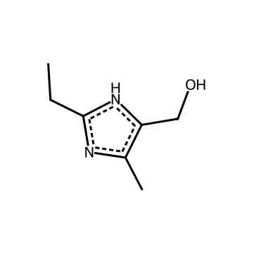 CCc1nc(C)c(CO)[nH]1